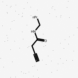 C#CCC(=O)NCCCC